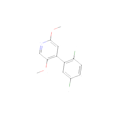 COc1cc(-c2cc(Cl)ccc2F)c(OC)cn1